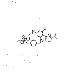 C=C(C)c1ccc2c(n1)c1c(F)cc(F)cc1n2Cc1ccc(CP(=O)(OCC)OCC)cc1